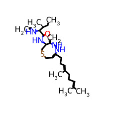 C=CNC(C(=O)NC1CSC/C=C(/CC/C=C(\C)CCC=C(C)C)NNC1=C)[C@@H](C)CC